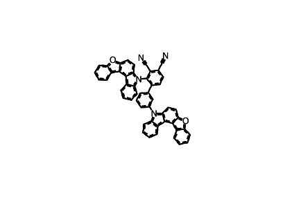 N#Cc1ccc(-c2cccc(-n3c4ccccc4c4c5c(ccc43)oc3ccccc35)c2)c(-n2c3ccccc3c3c4c(ccc32)oc2ccccc24)c1C#N